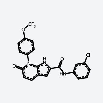 O=C(Nc1cccc(Cl)c1)c1cc2ccc(=O)n(-c3ccc(OC(F)(F)F)cc3)c2[nH]1